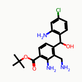 CC(C)(C)OC(=O)c1ccc(C(O)c2ccc(Cl)cc2N)c(CN)c1N